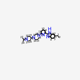 CCc1ccc2nc(-c3cccc(N4CCCN(C5CCN(C(C)C)CC5)CC4)n3)[nH]c2c1